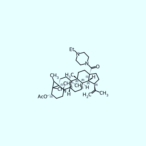 C=C(C)[C@@H]1CC[C@]2(C(=O)N3CCN(CC)CC3)CC[C@]3(C)[C@H](CC[C@H]4[C@@]3(C)CC[C@@]35C(C)C3(C)[C@@H](OC(C)=O)CC[C@]45C)[C@@H]12